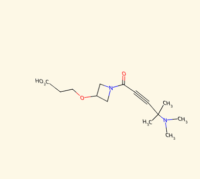 CN(C)C(C)(C)C#CC(=O)N1CC(OCCC(=O)O)C1